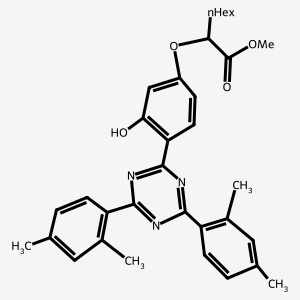 CCCCCCC(Oc1ccc(-c2nc(-c3ccc(C)cc3C)nc(-c3ccc(C)cc3C)n2)c(O)c1)C(=O)OC